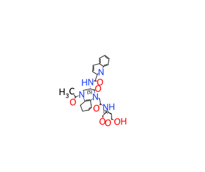 CC(=O)N1C[C@H](NC(=O)c2ccc3ccccc3n2)C(=O)N(CC(=O)N[C@H](C=O)CC(=O)O)C2=C1CCC=C2